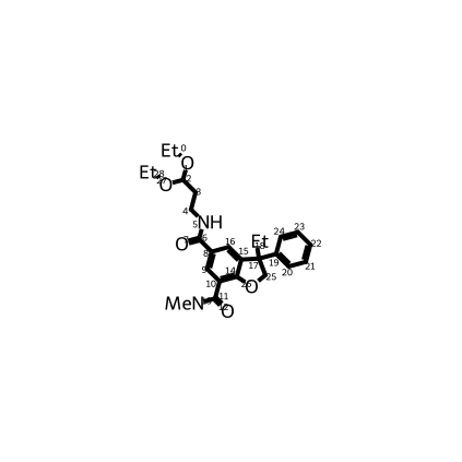 CCOC(CCNC(=O)c1cc(C(=O)NC)c2c(c1)C(CC)(c1ccccc1)CO2)OCC